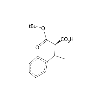 CC(c1ccccc1)[C@H](C(=O)O)C(=O)OC(C)(C)C